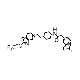 Cc1cc(CC(=O)N[C@H]2CC[C@H](CCN3CCc4sc(OCC(F)(F)F)nc4C3)CC2)ccn1